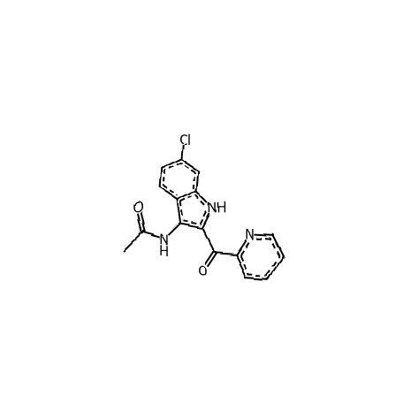 CC(=O)Nc1c(C(=O)c2ccccn2)[nH]c2cc(Cl)ccc12